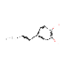 CCCCC/C=C/c1ccc(O)c(O)c1